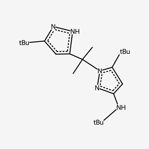 CC(C)(C)Nc1cc(C(C)(C)C)n(C(C)(C)c2cc(C(C)(C)C)n[nH]2)n1